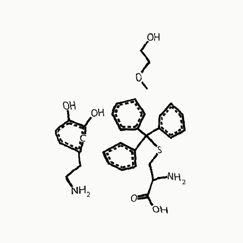 COCCO.NC(CSC(c1ccccc1)(c1ccccc1)c1ccccc1)C(=O)O.NCCc1ccc(O)c(O)c1